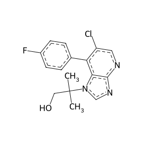 CC(C)(CO)n1cnc2ncc(Cl)c(-c3ccc(F)cc3)c21